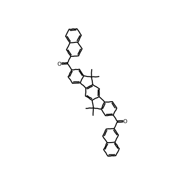 CC1(C)c2cc(C(=O)c3ccc4ccccc4c3)ccc2-c2cc3c(cc21)-c1ccc(C(=O)c2ccc4ccccc4c2)cc1C3(C)C